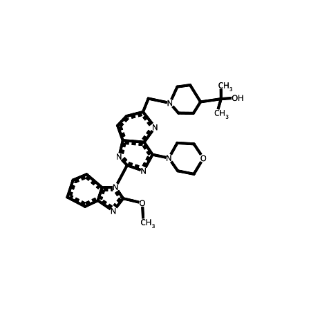 COc1nc2ccccc2n1-c1nc(N2CCOCC2)c2nc(CN3CCC(C(C)(C)O)CC3)ccc2n1